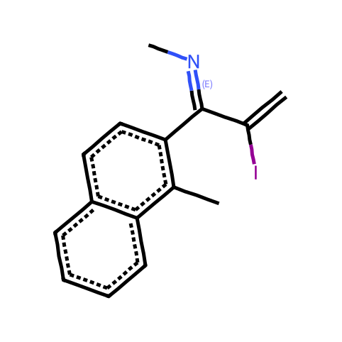 C=C(I)/C(=N/C)c1ccc2ccccc2c1C